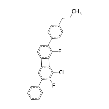 CCCc1ccc(-c2ccc3c(c2F)-c2c-3cc(-c3ccccc3)c(F)c2Cl)cc1